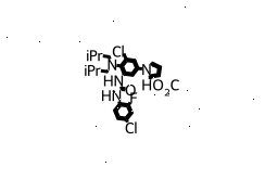 CC(C)CN(CC(C)C)c1c(Cl)cc(-n2cccc2C(=O)O)cc1NC(=O)Nc1ccc(Cl)cc1F